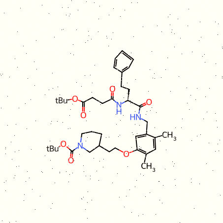 Cc1cc(C)c(OCCC2CCCN(C(=O)OC(C)(C)C)C2)cc1CNC(=O)[C@H](CCc1ccccc1)NC(=O)CCC(=O)OC(C)(C)C